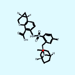 CCN1[C@@H]2CC[C@H]1C[C@H](Cc1cc(F)ccc1S(=O)(=O)Nc1ccc3c(c1C(=O)O)OC[C@@H]1C[C@H]31)C2